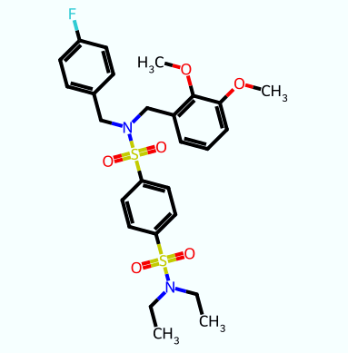 CCN(CC)S(=O)(=O)c1ccc(S(=O)(=O)N(Cc2ccc(F)cc2)Cc2cccc(OC)c2OC)cc1